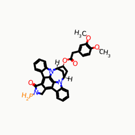 COc1ccc(CC(=O)O[C@@H]2C[C@@H]3C[C@H]2n2c4ccccc4c4c5c(c6c7ccccc7n3c6c42)CN(P)C5=O)cc1OC